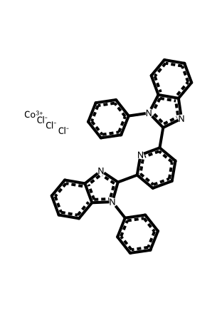 [Cl-].[Cl-].[Cl-].[Co+3].c1ccc(-n2c(-c3cccc(-c4nc5ccccc5n4-c4ccccc4)n3)nc3ccccc32)cc1